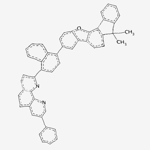 CC1(C)c2ccccc2-c2c1ccc1c2oc2ccc(-c3ccc(-c4ccc5ccc6cc(-c7ccccc7)cnc6c5n4)c4ccccc34)cc21